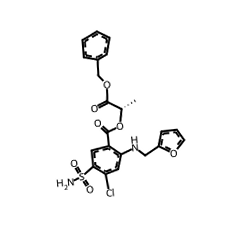 C[C@H](OC(=O)c1cc(S(N)(=O)=O)c(Cl)cc1NCc1ccco1)C(=O)OCc1ccccc1